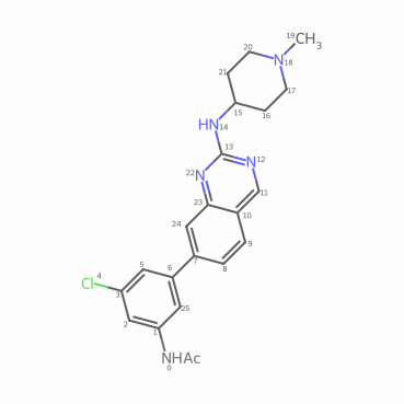 CC(=O)Nc1cc(Cl)cc(-c2ccc3cnc(NC4CCN(C)CC4)nc3c2)c1